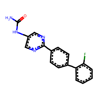 NC(=O)Nc1cnc(-c2ccc(-c3ccccc3F)cc2)nc1